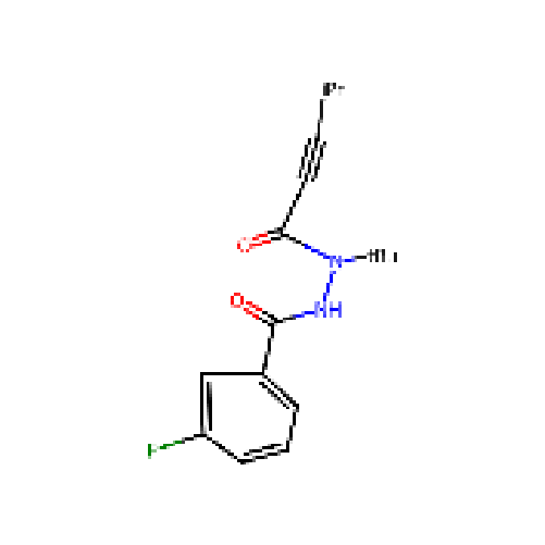 CC(C)C#CC(=O)N(NC(=O)c1cccc(F)c1)C(C)(C)C